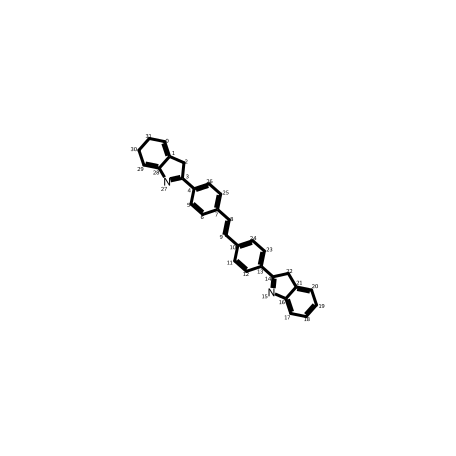 C1=C2CC(c3ccc(/C=C/c4ccc(C5=Nc6ccccc6C5)cc4)cc3)=NC2=CCC1